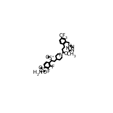 Cc1nnn(Cc2cc(C(F)(F)F)ccc2CCC(=O)N2CCC(CC([S+]=O)c3ccc(S(N)(=O)=O)c(F)c3F)CC2)n1